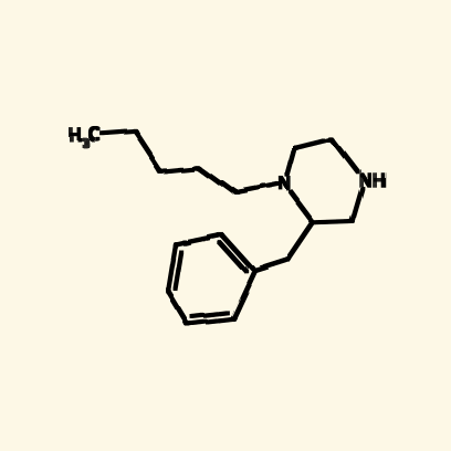 CCCCCN1CCNCC1Cc1ccccc1